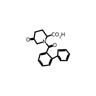 O=C1CCC(C(=O)O)N(C(=O)c2ccccc2-c2ccccc2)C1